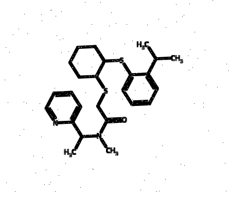 CC(C)c1ccccc1SC1CCCCC1SCC(=O)N(C)C(C)c1ccccn1